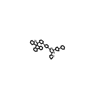 c1ccc(-c2ccc(-c3nc(-c4ccc(-c5cccc(-c6nc7ccccc7c7c8ccccc8c8ccccc8c67)c5)cc4)cc(-c4ccccn4)n3)cc2)cc1